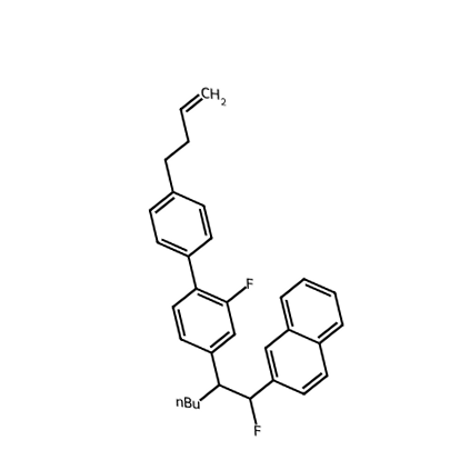 C=CCCc1ccc(-c2ccc(C(CCCC)C(F)c3ccc4ccccc4c3)cc2F)cc1